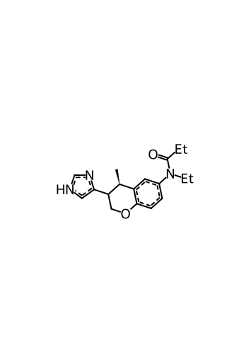 CCC(=O)N(CC)c1ccc2c(c1)[C@H](C)C(c1c[nH]cn1)CO2